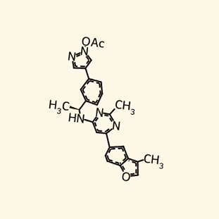 CC(=O)On1cc(-c2cccc([C@H](C)Nc3cc(-c4ccc5occ(C)c5c4)nc(C)n3)c2)cn1